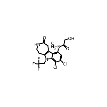 C[C@H]1C(=O)NCCc2c1c1c(NC(=O)CO)cc(Cl)c(Cl)c1n2CC(F)(F)F